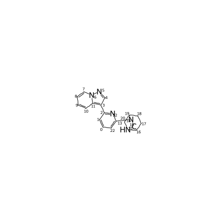 c1cc(-c2cnn3ccccc23)nc(N2CC3CCC2CN3)c1